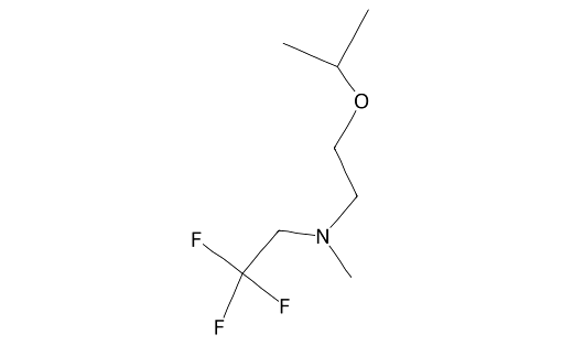 CC(C)OCCN(C)CC(F)(F)F